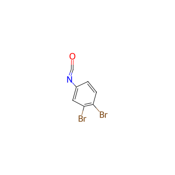 O=C=Nc1ccc(Br)c(Br)c1